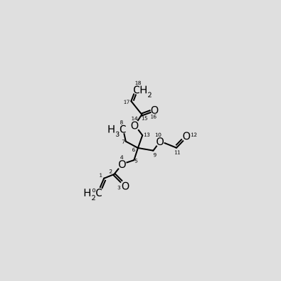 C=CC(=O)OCC(CC)(COC=O)COC(=O)C=C